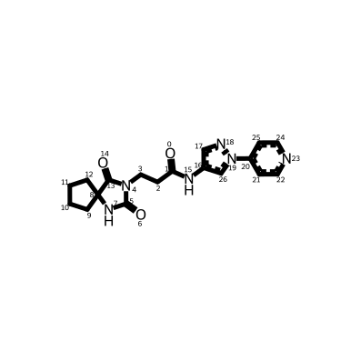 O=C(CCN1C(=O)NC2(CCCC2)C1=O)Nc1cnn(-c2ccncc2)c1